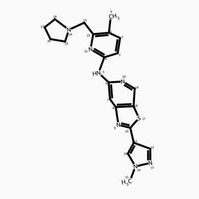 Cc1ccc(Nc2cc3nc(-c4cnn(C)c4)sc3cn2)nc1CN1CCCC1